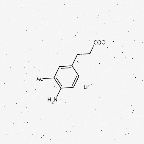 CC(=O)c1cc(CCC(=O)[O-])ccc1N.[Li+]